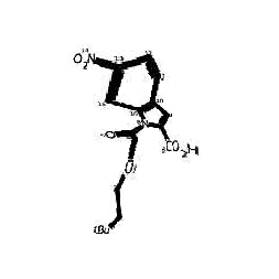 CC(C)(C)CCOC(=O)n1c(C(=O)O)cc2ccc([N+](=O)[O-])cc21